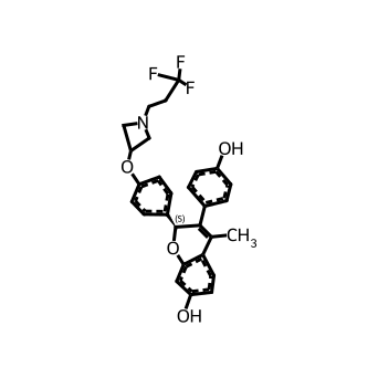 CC1=C(c2ccc(O)cc2)[C@H](c2ccc(OC3CN(CCC(F)(F)F)C3)cc2)Oc2cc(O)ccc21